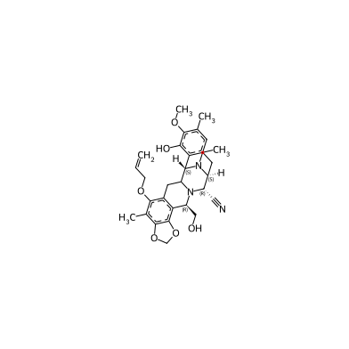 C=CCOc1c(C)c2c(c3c1CC1[C@@H]4c5c(cc(C)c(OC)c5O)C[C@@H]([C@H](C#N)N1[C@H]3CO)N4CC)OCO2